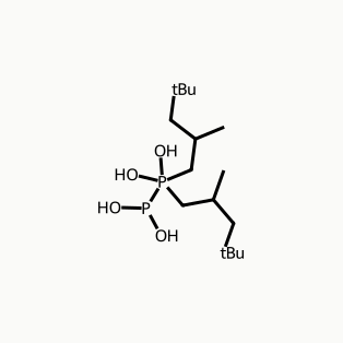 CC(CC(C)(C)C)CP(O)(O)(CC(C)CC(C)(C)C)P(O)O